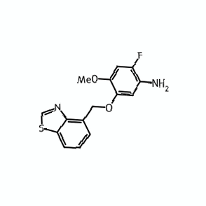 COc1cc(F)c(N)cc1OCc1cccc2scnc12